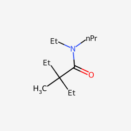 CCCN(CC)C(=O)C(C)(CC)CC